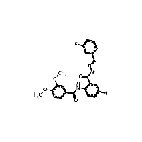 COc1ccc(C(=O)Nc2ccc(I)cc2C(=O)N/N=C/c2cccc(F)c2)cc1OC